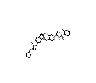 COc1cc(C(=O)NS(=O)(=O)c2ccccc2C)ccc1Cn1ccc2ccc(CC(=O)NCC3CCCC3)cc21